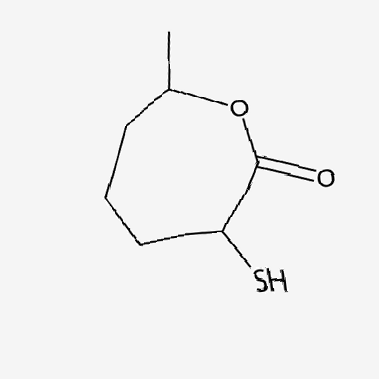 CC1CCCC(S)C(=O)O1